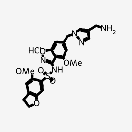 COc1cc2c(cc1S(=O)(=O)Nc1noc3cc(Cn4cc(CN)cn4)cc(OC)c13)OCC2.Cl